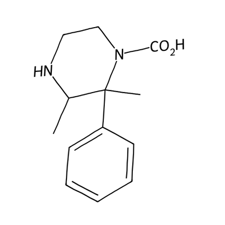 CC1NCCN(C(=O)O)C1(C)c1ccccc1